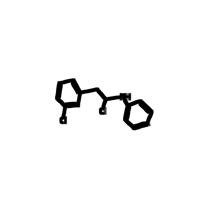 Clc1cccc(CC(Cl)Nc2cc[c]cc2)c1